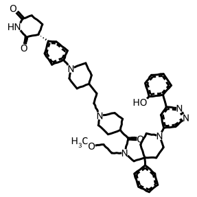 COCCN(CC1(c2ccccc2)CCN(c2cnnc(-c3ccccc3O)c2)CC1)C(=O)C1CCN(CCC2CCN(c3ccc([C@H]4CCC(=O)NC4=O)cc3)CC2)CC1